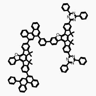 CC1(C)c2cc(-c3cc4c(-c5cccc(-c6ccc7c(c6)oc6c8c(c9c(c67)-c6ccc(-c7nc(-c%10ccccc%10)nc(-c%10ccccc%10)n7)cc6C9(C)C)C(C)(C)c6cc(-c7nc(-c9ccccc9)nc(-c9ccccc9)n7)ccc6-8)c5)cc5ccccc5c4c4ccccc34)ccc2-c2c1c1c(c3c2oc2ccccc23)-c2ccc(-c3cc4ccccc4c4c3cc(-c3ccccc3)c3ccccc34)cc2C1(C)C